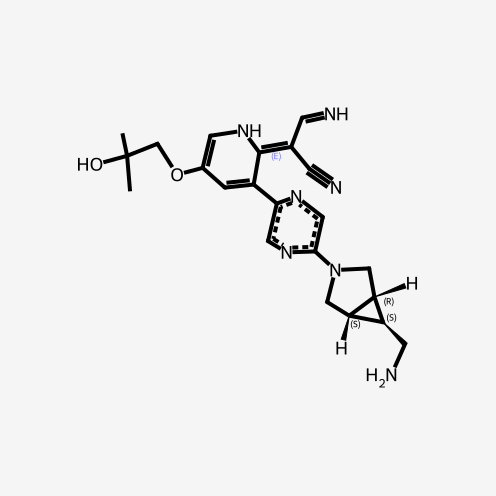 CC(C)(O)COC1=CN/C(=C(/C#N)C=N)C(c2cnc(N3C[C@@H]4[C@@H](CN)[C@@H]4C3)cn2)=C1